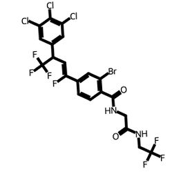 O=C(CNC(=O)c1ccc(C(F)=CC(c2cc(Cl)c(Cl)c(Cl)c2)C(F)(F)F)cc1Br)NCC(F)(F)F